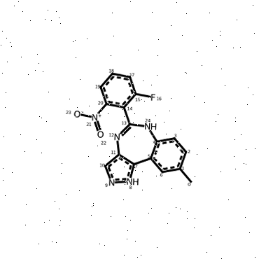 Cc1ccc2c(c1)-c1[nH]ncc1N=C(c1c(F)cccc1[N+](=O)[O-])N2